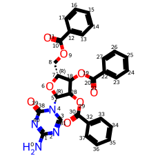 Nc1ncn([C@@H]2O[C@H](COC(=O)c3ccccc3)C(OC(=O)c3ccccc3)C2OC(=O)c2ccccc2)c(=O)n1